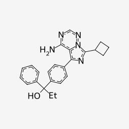 CCC(O)(c1ccccc1)c1ccc(-c2nc(C3CCC3)n3ncnc(N)c23)cc1